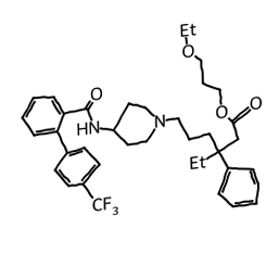 CCOCCCOC(=O)CC(CC)(CCCN1CCC(NC(=O)c2ccccc2-c2ccc(C(F)(F)F)cc2)CC1)c1ccccc1